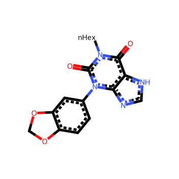 CCCCCCn1c(=O)c2[nH]cnc2n(-c2ccc3c(c2)OCO3)c1=O